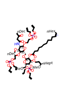 C=CCOP(=O)(OCC=C)OCCO[C@H]1O[C@H](CO[C@@H]2O[C@H](COC)[C@@H](OP(=O)(OCC=C)OCC=C)[C@H](OCC[C@H](CCCCCCC)OC)[C@H]2OC(=O)CCCCCCCCC/C=C\CCCCCC)[C@@H](OCCOP(=O)(OCC=C)OCC=C)[C@H](OCCCCCCCCCC)[C@@H]1NC(=O)CC(=O)CCCCCCCCCCC